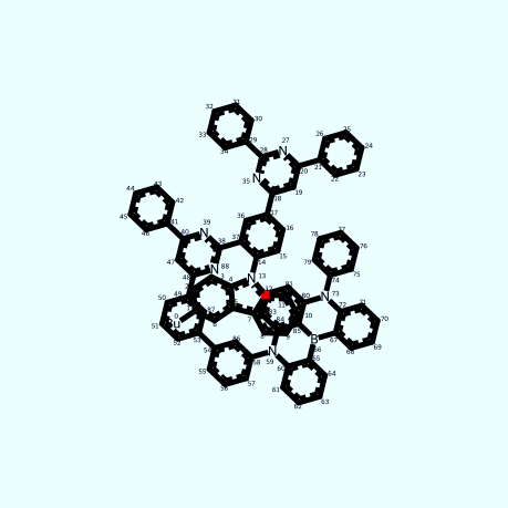 CC(C)(C)c1ccc2c(c1)c1ccccc1n2-c1ccc(-c2cc(-c3ccccc3)nc(-c3ccccc3)n2)cc1-c1nc(-c2ccccc2)cc(-c2cccc(-c3cccc(N4c5ccccc5B5c6ccccc6N(c6ccccc6)c6cccc4c65)c3)c2)n1